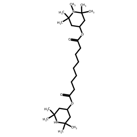 CN1C(C)(C)CC(OC(=O)CCCCCCCC(=O)OC2CC(C)(C)NC(C)(C)C2)CC1(C)C